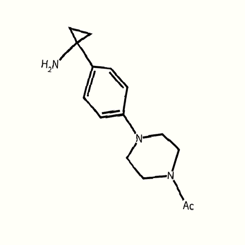 CC(=O)N1CCN(c2ccc(C3(N)CC3)cc2)CC1